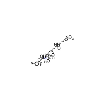 O=C(CCC[C@H]1CC[C@@H]2[C@@H](/C=C/[C@@H](O)COc3cc(F)ccc3F)[C@H](O)C[C@@H]2OC1)NCCCCO[N+](=O)[O-]